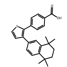 CC1(C)CCC(C)(C)c2cc(-c3ccsc3-c3ccc(C(=O)O)cc3)ccc21